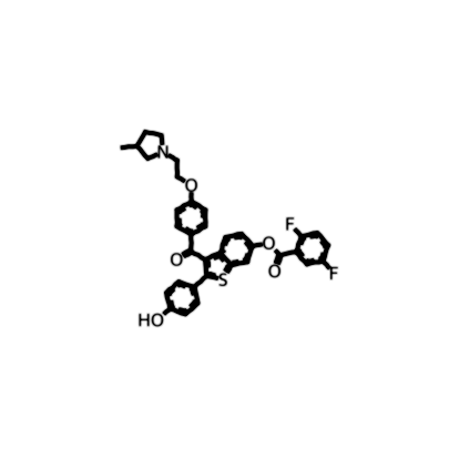 CC1CCN(CCOc2ccc(C(=O)c3c(-c4ccc(O)cc4)sc4cc(OC(=O)c5cc(F)ccc5F)ccc34)cc2)C1